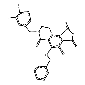 C=C1OC(=O)c2c1c(=O)c(OCc1ccccc1)c1n2CCN(Cc2ccc(F)c(Cl)c2)C1=O